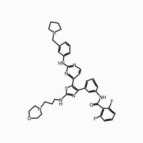 O=C(Nc1cccc(-c2nc(NCCCN3CCOCC3)sc2-c2ccnc(Nc3cccc(CN4CCCC4)c3)n2)c1)c1c(F)cccc1F